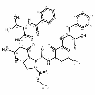 CCCC(NC(=O)[C@@H]1[C@@H](C(=O)OC)CCN1C(=O)[C@@H](NC(=O)[C@@H](NC(=O)c1cnccn1)C(C)C)C(C)C)C(=O)C(=O)N[C@@H](Cc1ccccc1)C(=O)O